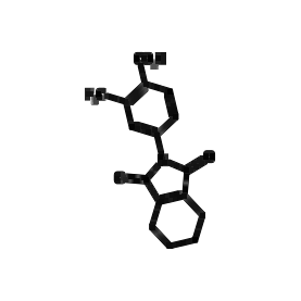 O=C(O)c1ccc(N2C(=O)C3=C(CCCC3)C2=O)cc1C(F)(F)F